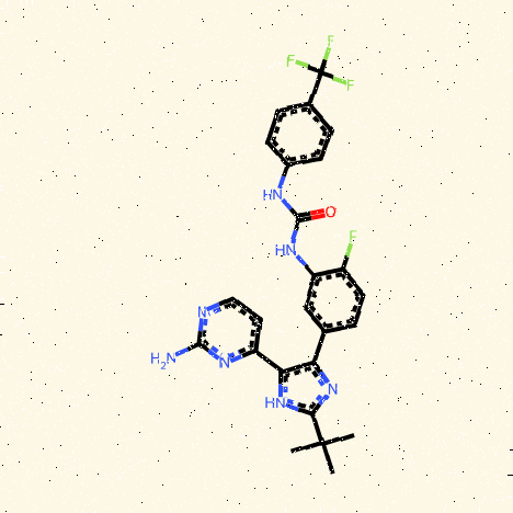 CC(C)(C)c1nc(-c2ccc(F)c(NC(=O)Nc3ccc(C(F)(F)F)cc3)c2)c(-c2ccnc(N)n2)[nH]1